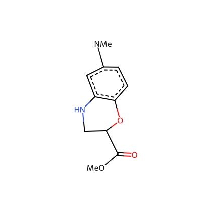 CNc1ccc2c(c1)NCC(C(=O)OC)O2